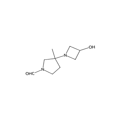 CC1(N2CC(O)C2)CCN(C=O)C1